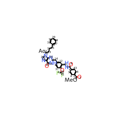 COC(=O)c1ccc(C(=O)NCc2cc(Cc3nc4c(ncn4C(CCCc4ccccc4)C(C)=O)c(=O)[nH]3)ccc2OC(F)F)cc1